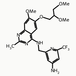 COCC(COc1cc2c(NCc3cc(N)cc(C(F)(F)F)n3)nc(C)nc2cc1OC)OC